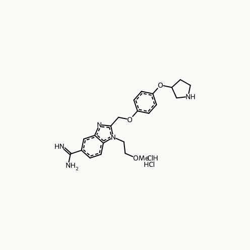 COCCn1c(COc2ccc(OC3CCNC3)cc2)nc2cc(C(=N)N)ccc21.Cl.Cl